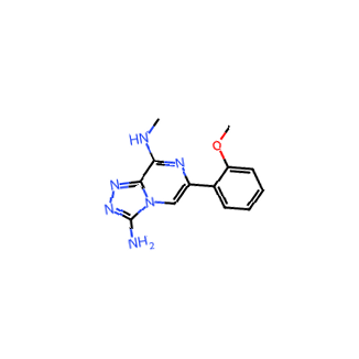 CNc1nc(-c2ccccc2OC)cn2c(N)nnc12